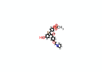 CS(=O)(=O)Oc1ccc(-c2sc3cc(O)ccc3c2C(=O)c2ccc(OCCN3CCCCC3)cc2)cc1